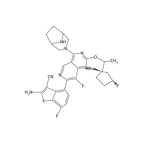 CCCC[C@]1(C(C)Oc2nc(N3CC4CCC(C3)N4)c3cnc(-c4ccc(F)c5sc(N)c(C#N)c45)c(F)c3n2)CC[C@H](F)C1